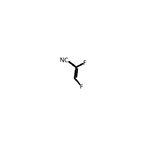 N#CC(F)=CF